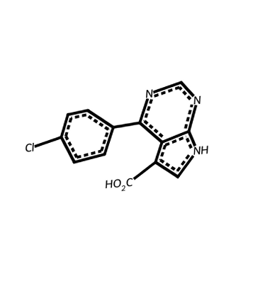 O=C(O)c1c[nH]c2ncnc(-c3ccc(Cl)cc3)c12